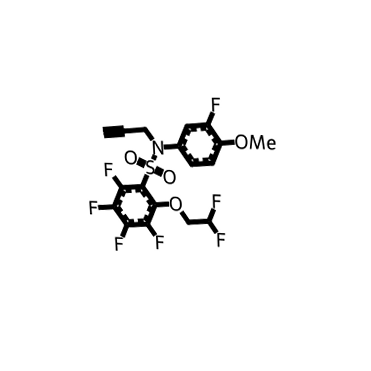 C#CCN(c1ccc(OC)c(F)c1)S(=O)(=O)c1c(F)c(F)c(F)c(F)c1OCC(F)F